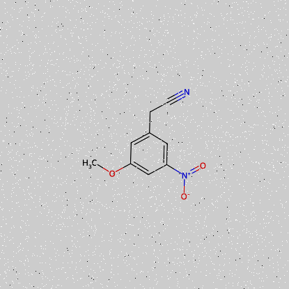 COc1cc(CC#N)cc([N+](=O)[O-])c1